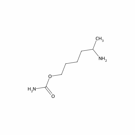 CC(N)CCCCOC(N)=O